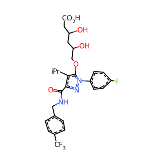 CC(C)c1c(C(=O)NCc2ccc(C(F)(F)F)cc2)nn(-c2ccc(F)cc2)c1OCC(O)CC(O)CC(=O)O